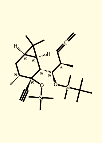 C#C[C@]1(O[Si](C)(C)C)[C@@H]([C@H](O[Si](C)(C)C(C)(C)C)[C@H](C)C=C=C)[C@H]2[C@@H](C[C@H]1C)C2(C)C